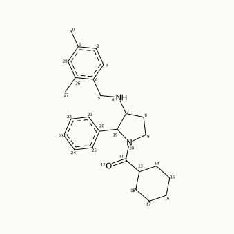 Cc1ccc(CNC2CCN(C(=O)C3CCCCC3)C2c2ccccc2)c(C)c1